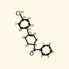 O=C(c1ccccc1)C1CC=C(c2ccc(Cl)cc2)CC1